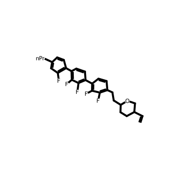 C=CC1CCC(CCc2ccc(-c3ccc(-c4ccc(CCC)cc4F)c(F)c3F)c(F)c2F)OC1